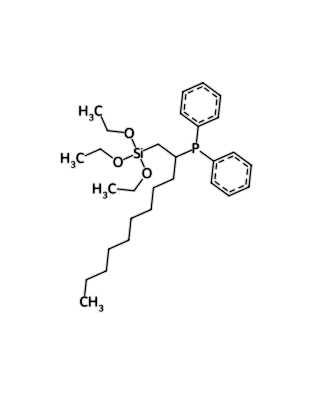 CCCCCCCCCC(C[Si](OCC)(OCC)OCC)P(c1ccccc1)c1ccccc1